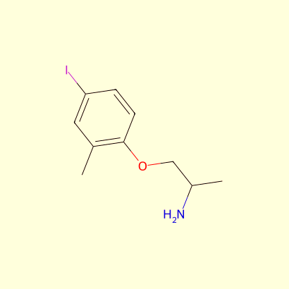 Cc1cc(I)ccc1OCC(C)N